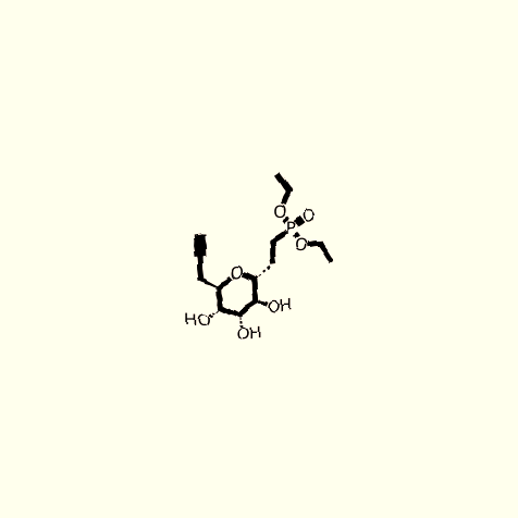 C#CC[C@H]1O[C@H](CCP(=O)(OCC)OCC)[C@@H](O)[C@H](O)[C@@H]1O